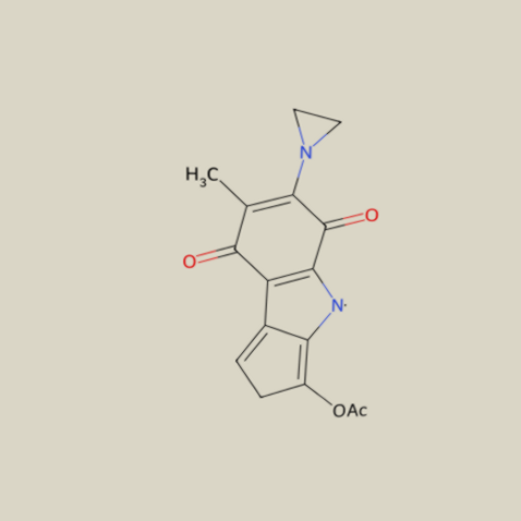 CC(=O)OC1=C2[N]C3=C(C(=O)C(C)=C(N4CC4)C3=O)C2=CC1